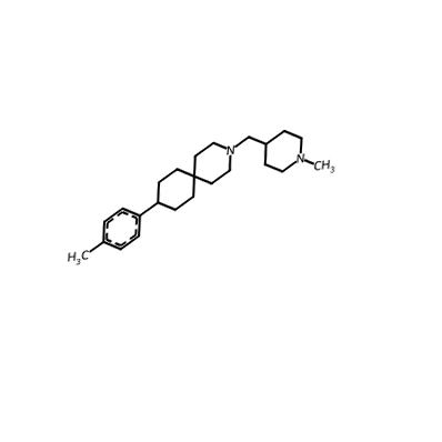 Cc1ccc(C2CCC3(CC2)CCN(CC2CCN(C)CC2)CC3)cc1